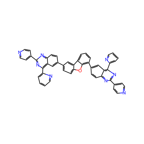 c1ccc(-c2nc(-c3ccncc3)nc3ccc(-c4ccc5oc6c(-c7ccc8nc(-c9ccncc9)nc(-c9ccccn9)c8c7)cccc6c5c4)cc23)nc1